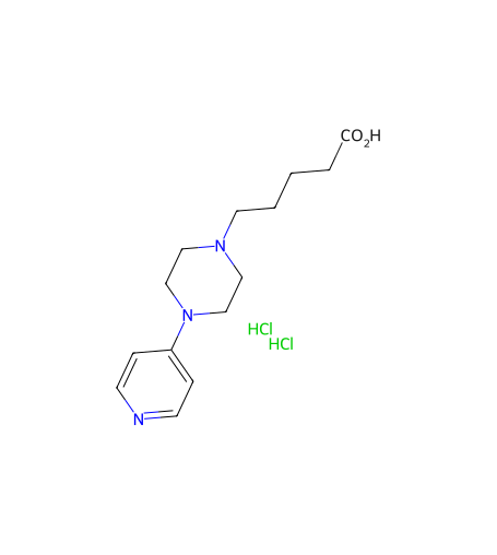 Cl.Cl.O=C(O)CCCCN1CCN(c2ccncc2)CC1